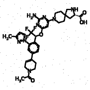 CC(=O)N1CC=C(c2ccc(C(Oc3cc(N4CCC5(CC4)CN[C@H](C(=O)O)C5)nc(N)n3)C(F)(F)F)c(-n3ccc(C)n3)c2)CC1